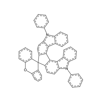 c1ccc(-n2c3ccccc3c3c4c(ccc32)C2(c3ccccc3Oc3ccccc32)c2ccc3c(c2-4)c2ccccc2n3-c2ccccc2)cc1